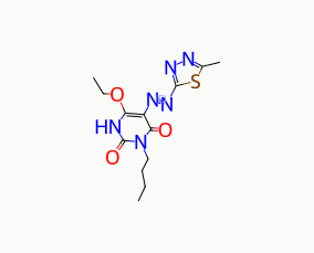 CCCCn1c(=O)[nH]c(OCC)c(/N=N/c2nnc(C)s2)c1=O